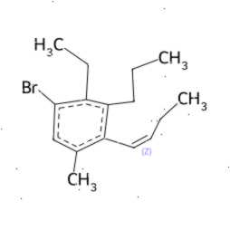 CC/C=C\c1c(C)cc(Br)c(CC)c1CCC